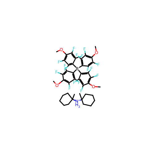 CC1([NH2+]C2(C)CCCCC2)CCCCC1.COc1c(F)c(F)c([B-](c2c(F)c(F)c(OC)c(F)c2F)(c2c(F)c(F)c(OC)c(F)c2F)c2c(F)c(F)c(OC)c(F)c2F)c(F)c1F